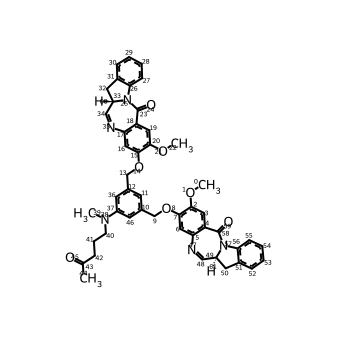 COc1cc2c(cc1OCc1cc(COc3cc4c(cc3OC)C(=O)N3c5ccccc5C[C@H]3C=N4)cc(N(C)CCCC(C)=O)c1)N=C[C@@H]1Cc3ccccc3N1C2=O